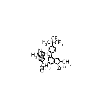 CC1=C2C3=CN=CC3=C1[Si]2(C)C.CC1=Cc2c(-c3ccc(C(C(F)(F)F)(C(F)(F)F)C(F)(F)F)cc3)cccc2[CH]1[Zr+2].[Cl-].[Cl-]